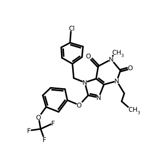 CCCn1c(=O)n(C)c(=O)c2c1nc(Oc1cccc(OC(F)(F)F)c1)n2Cc1ccc(Cl)cc1